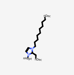 CCCCCCCCCCCCCCCCCCCN1C=CN(CCCCCCC)C1CCCCCCCCCCC